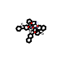 CC1C/C=C(c2cccc3ccccc23)/N=C(c2cccc3sc4ccccc4c23)\N=C/1c1cc2sc3ccccc3c2cc1-n1c2cc3ccccc3cc2c2cc3ccccc3cc21